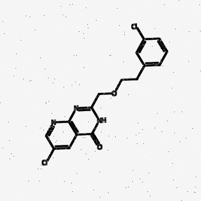 O=c1[nH]c(COCCc2cccc(Cl)c2)nc2ncc(Cl)cc12